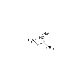 NCCN.[Na+].[OH-]